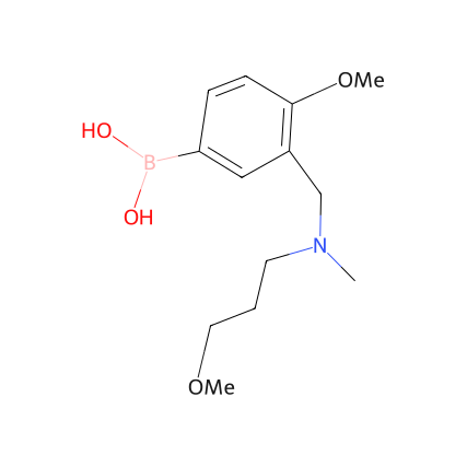 COCCCN(C)Cc1cc(B(O)O)ccc1OC